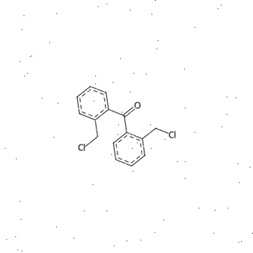 O=C(c1ccccc1CCl)c1ccccc1CCl